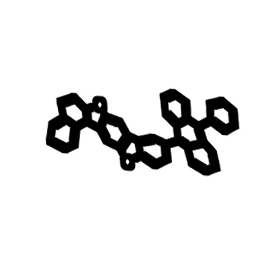 c1ccc(-c2c3ccccc3c(-c3ccc4oc5cc6c(cc5c4c3)oc3ccc4ccccc4c36)c3ccccc23)cc1